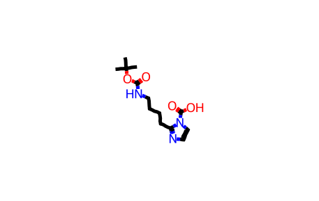 CC(C)(C)OC(=O)NCCCCc1nccn1C(=O)O